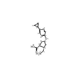 NC[C@@H]1C[C@@H](Oc2cnc(C3CC3)cn2)CN1C(=O)O